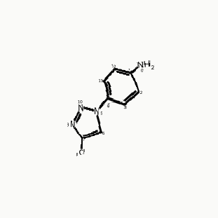 Nc1ccc(-n2cc(Cl)nn2)cc1